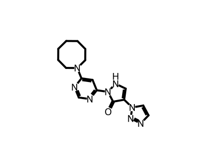 O=c1c(-n2ccnn2)c[nH]n1-c1cc(N2CCCCCCC2)ncn1